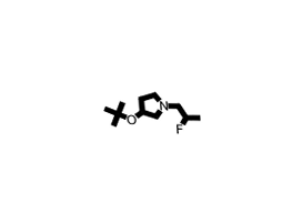 CC(F)CN1CCC(OC(C)(C)C)C1